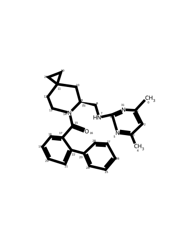 Cc1cc(C)nc(NC[C@@H]2CC3(CCN2C(=O)c2ccccc2-c2ccccc2)CC3)n1